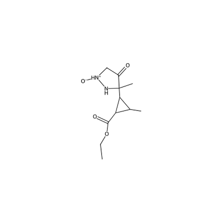 CCOC(=O)C1C(C)C1C1(C)N[NH+]([O-])CC1=O